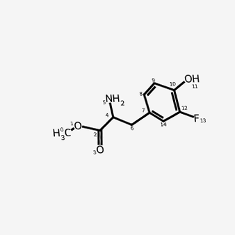 COC(=O)C(N)Cc1ccc(O)c(F)c1